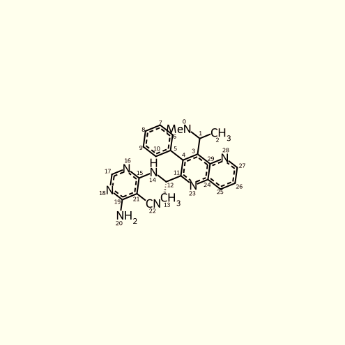 CNC(C)c1c(-c2ccccc2)c([C@H](C)Nc2ncnc(N)c2C#N)nc2cccnc12